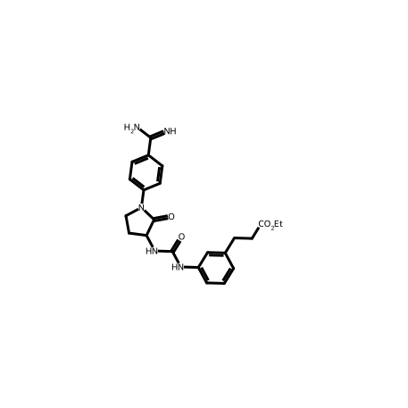 CCOC(=O)CCc1cccc(NC(=O)NC2CCN(c3ccc(C(=N)N)cc3)C2=O)c1